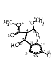 COC(=O)C(C(=O)OC)C(O)c1ccc(Cl)cc1